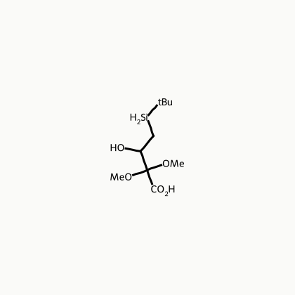 COC(OC)(C(=O)O)C(O)C[SiH2]C(C)(C)C